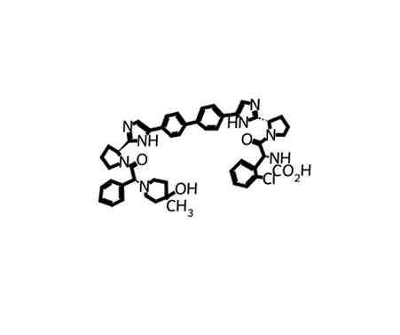 CC1(O)CCN([C@@H](C(=O)N2CCC[C@H]2c2ncc(-c3ccc(-c4ccc(-c5cnc([C@@H]6CCCN6C(=O)[C@H](NC(=O)O)c6ccccc6Cl)[nH]5)cc4)cc3)[nH]2)c2ccccc2)CC1